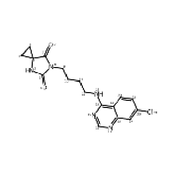 O=C1NC2(CC2)C(=O)N1CCCCNc1ncnc2cc(Cl)ccc12